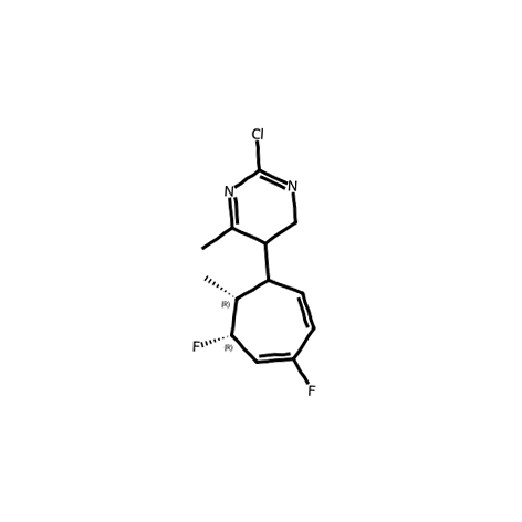 CC1=NC(Cl)=NCC1C1C=CC(F)=C[C@H](F)[C@@H]1C